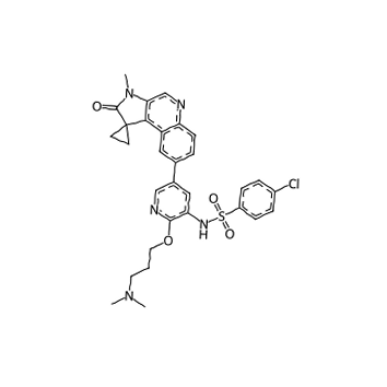 CN(C)CCCOc1ncc(-c2ccc3ncc4c(c3c2)C2(CC2)C(=O)N4C)cc1NS(=O)(=O)c1ccc(Cl)cc1